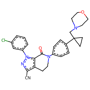 N#Cc1nn(-c2cccc(Cl)c2)c2c1CCN(c1ccc(C3(CN4CCOCC4)CC3)cc1)C2=O